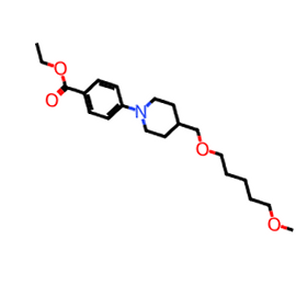 CCOC(=O)c1ccc(N2CCC(COCCCCCOC)CC2)cc1